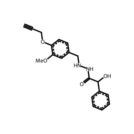 C#CCOc1ccc(CNNC(=O)C(O)c2ccccc2)cc1OC